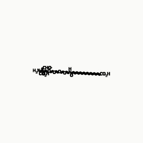 N[C@H](C(=O)O)C(C[C]=O)C(=O)CCOCCOCCOCCOCCNC(=O)CCCCCCCCCCCCCCCCC(=O)O